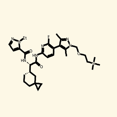 CCn1nccc1C(=O)N[C@H](C(=O)Nc1ccc(-c2c(C)nn(COCC[Si](C)(C)C)c2C)c(F)n1)[C@H]1CCCC2(CC2)C1